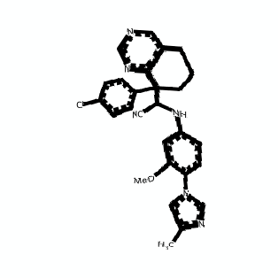 COc1cc(NC(C#N)C2(c3ccc(Cl)cc3)CCCc3cncnc32)ccc1-n1cnc(C)c1